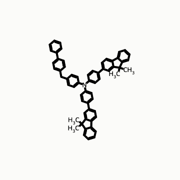 CC1(C)c2ccccc2-c2ccc(-c3ccc(N(c4ccc(Cc5ccc(-c6ccccc6)cc5)cc4)c4ccc(-c5ccc6c(c5)C(C)(C)c5ccccc5-6)cc4)cc3)cc21